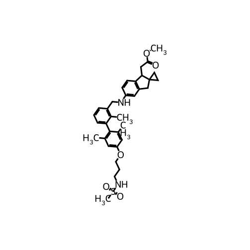 COC(=O)CC1c2ccc(NCc3cccc(-c4c(C)cc(OCCCNS(C)(=O)=O)cc4C)c3C)cc2CC12CC2